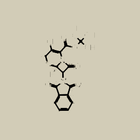 CC1=C(C(=O)OC(C)(C)C)N2C(=O)C(N3C(=O)c4ccccc4C3=O)[C@H]2SC1